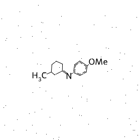 COc1ccc(N=C2CCCC(C)C2)cc1